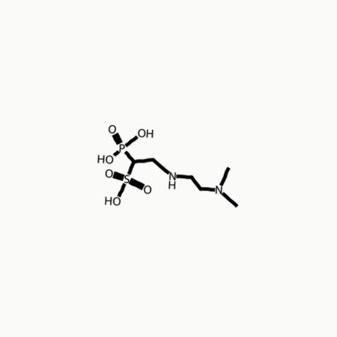 CN(C)CCNCC(P(=O)(O)O)S(=O)(=O)O